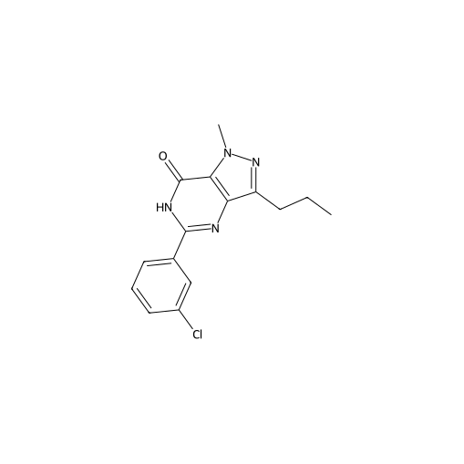 CCCc1nn(C)c2c(=O)[nH]c(-c3cccc(Cl)c3)nc12